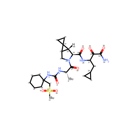 CC(C)(C)[C@H](NC(=O)NC1(CS(=O)(=O)C(C)(C)C)CCCCC1)C(=O)N1CC2[C@@H]([C@H]1C(=O)NC(CC1CC1)C(=O)C(N)=O)C21CC1